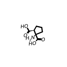 N[C@@]1(C(=O)O)CCC[C@@H]1C(=O)O